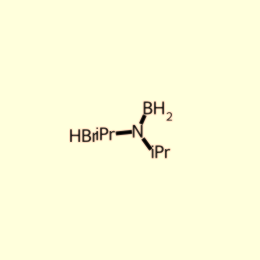 BN(C(C)C)C(C)C.Br